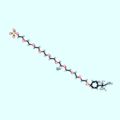 CC(C)(C)CC(C)(C)c1ccc(OCCOCCOCCOCCOCCOCCOCCOCCOCCOS(=O)(=O)[O-])cc1.[Na+]